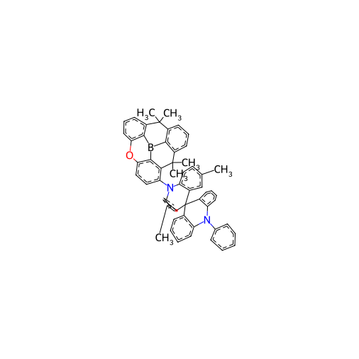 Cc1ccc2c(c1)C1(c3ccccc3N(c3ccccc3)c3ccccc31)c1cc(C)ccc1N2c1ccc2c3c1C(C)(C)c1cccc4c1B3c1c(cccc1C4(C)C)O2